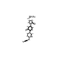 CC#CCN1CCN(c2ccc(N3C[C@H](CNC(C)=O)OC3=O)cc2F)C=N1